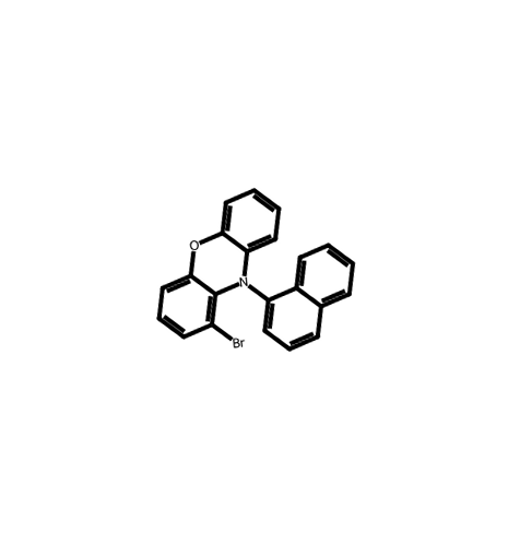 Brc1cccc2c1N(c1cccc3ccccc13)c1ccccc1O2